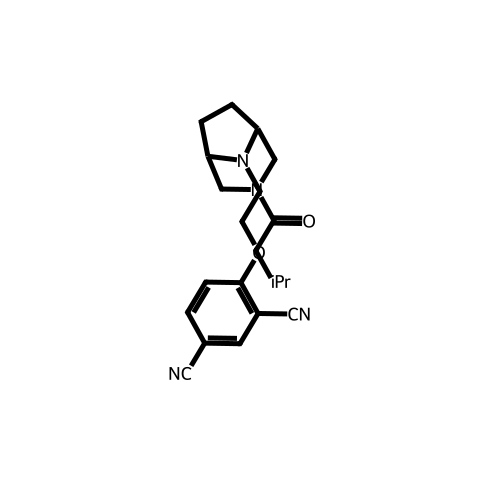 CC(C)CC(=O)N1CC2CCC(C1)N2CCOc1ccc(C#N)cc1C#N